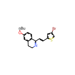 CCCCOc1ccc2c(c1)CCN=C2C=Cc1cc(Br)cs1